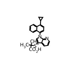 CC(C)(Sc1cn(-c2ccc(C3CC3)c3ccccc23)c2ncccc12)C(=O)O